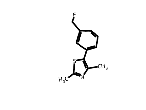 Cc1nc(C)c(-c2cccc(CF)c2)s1